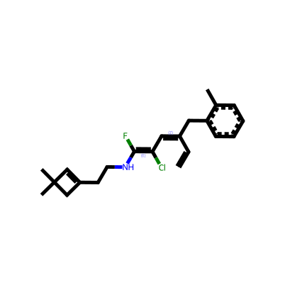 C=C/C(=C\C(Cl)=C(/F)NCCC1=CC(C)(C)C1)Cc1ccccc1C